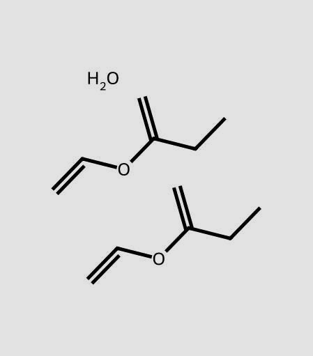 C=COC(=C)CC.C=COC(=C)CC.O